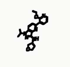 CCOc1ncccc1-c1ccc2c(n1)c(NC1CCOC1)nn2C(C)C